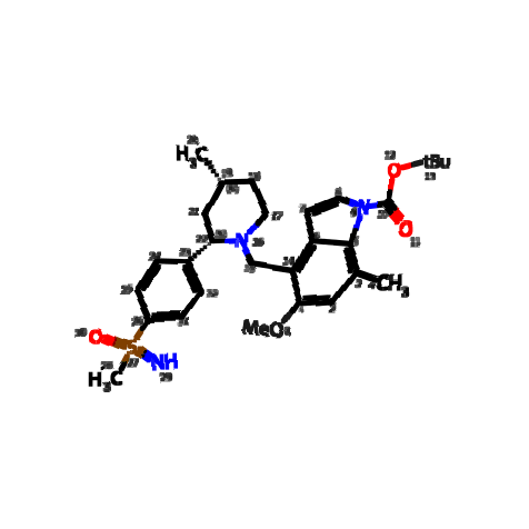 COc1cc(C)c2c(ccn2C(=O)OC(C)(C)C)c1CN1CC[C@@H](C)C[C@H]1c1ccc(S(C)(=N)=O)cc1